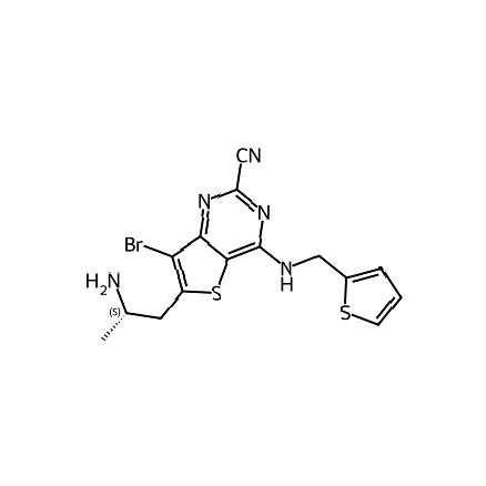 C[C@H](N)Cc1sc2c(NCc3cccs3)nc(C#N)nc2c1Br